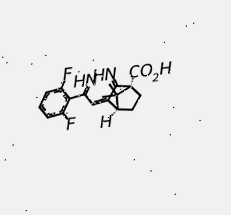 CC1(C)[C@H]2CC[C@]1(C(=O)O)C(=N)/C2=C\C(=N)c1c(F)cccc1F